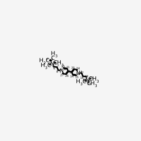 C=C(C)[N+](C)(C)CCC[n+]1ccc(-c2cc[n+](CCC[N+](C)(C)C)cc2)cc1